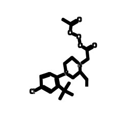 CCC1CN(c2ccc(Cl)cc2C(C)(C)C)CCN1CC(=O)OOOC(C)=O